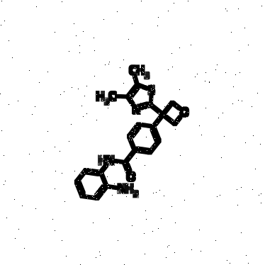 Cc1nc(C2(c3ccc(C(=O)Nc4ccccc4N)cc3)COC2)sc1C